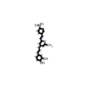 CCN(CC)c1ccc(/C=C/C2=CC(=C/C=C/c3ccc(O)c(O)c3)/C=C(C)O2)cc1